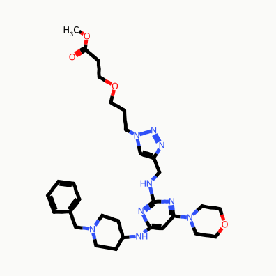 COC(=O)CCOCCCn1cc(CNc2nc(NC3CCN(Cc4ccccc4)CC3)cc(N3CCOCC3)n2)nn1